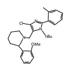 CCCCn1c(-c2ccccc2C)nc(Cl)c1CN1CCCCC1c1ccccc1OC